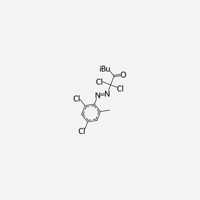 CCC(C)C(=O)C(Cl)(Cl)N=Nc1c(C)cc(Cl)cc1Cl